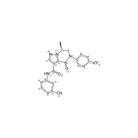 C[C@H]1CN(c2ccc(C(F)(F)F)cc2)C(=O)c2c(C(=O)Nc3cccc(C#N)c3)cnn21